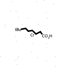 CC(C)(C)CCCCCC(=O)O.[Cr]